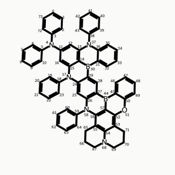 c1ccc(N(c2ccccc2)c2cc3c4c(c2)N(c2ccccc2)c2cc5c(cc2B4c2ccccc2N3c2ccccc2)B2c3ccccc3Oc3c4c6c(c(c32)N5c2ccccc2)CCCN6CCC4)cc1